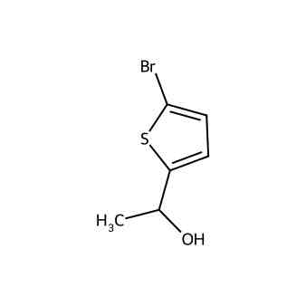 CC(O)c1ccc(Br)s1